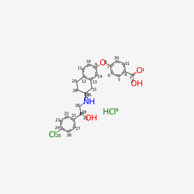 Cl.O=C(O)c1ccc(Oc2ccc3c(c2)C[C@@H](NC[C@H](O)c2ccc(Cl)cc2)CC3)cc1